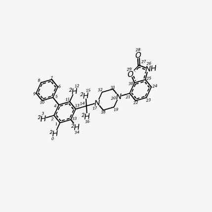 [2H]c1c([2H])c(-c2ccccc2)c([2H])c(C([2H])([2H])N2CCN(c3cccc4[nH]c(=O)oc34)CC2)c1[2H]